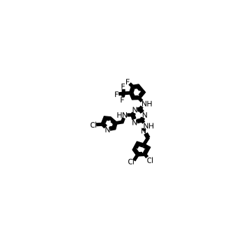 Fc1ccc(Nc2nc(NCc3ccc(Cl)nc3)nc(N/N=C/c3ccc(Cl)c(Cl)c3)n2)cc1C(F)(F)F